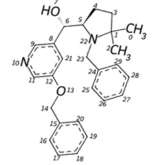 CC1(C)CC[C@H]([C@@H](O)c2cncc(OCc3ccccc3)c2)N1Cc1ccccc1